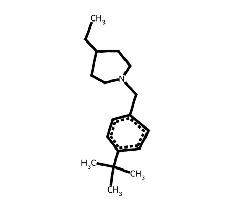 CCC1CCN(Cc2ccc(C(C)(C)C)cc2)CC1